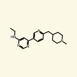 CCNc1cc(-c2ccc(CC3CCN(C)CC3)nc2)ncn1